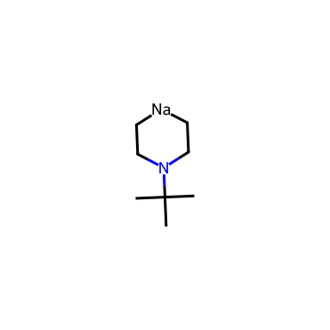 CC(C)(C)N1C[CH2][Na][CH2]C1